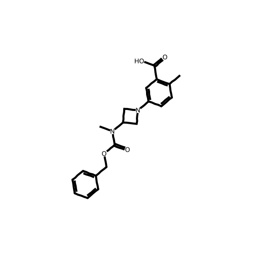 Cc1ccc(N2CC(N(C)C(=O)OCc3ccccc3)C2)cc1C(=O)O